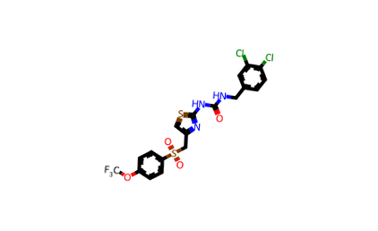 O=C(NCc1ccc(Cl)c(Cl)c1)Nc1nc(CS(=O)(=O)c2ccc(OC(F)(F)F)cc2)cs1